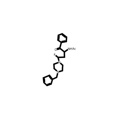 CC(=O)NC(CC(F)N1CCN(Cc2ccccc2)CC1)C(=O)c1ccccc1